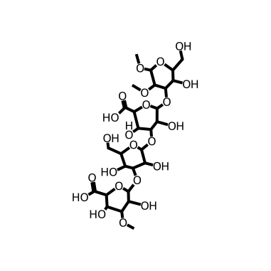 COC1OC(CO)C(O)C(OC2OC(C(=O)O)C(O)C(OC3OC(CO)C(O)C(OC4OC(C(=O)O)C(O)C(OC)C4O)C3O)C2O)C1OC